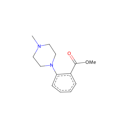 COC(=O)c1ccccc1N1CCN(C)CC1